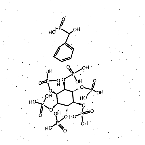 O=P(O)(O)O[C@H]1[C@H](OP(=O)(O)O)[C@@H](OP(=O)(O)O)[C@H](OP(=O)(O)O)[C@@H](OP(=O)(O)O)[C@H]1OP(=O)(O)O.O=[PH](O)C(O)c1ccccc1